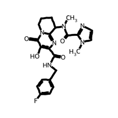 CN(C(=O)c1nccn1C)C1CCCn2c1nc(C(=O)NCc1ccc(F)cc1)c(O)c2=O